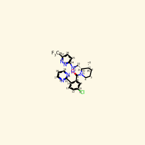 C[C@@H]1CCCN(C(=O)c2cc(Cl)ccc2-c2ncccn2)[C@@H]1CNc1ccc(C(F)(F)F)nn1